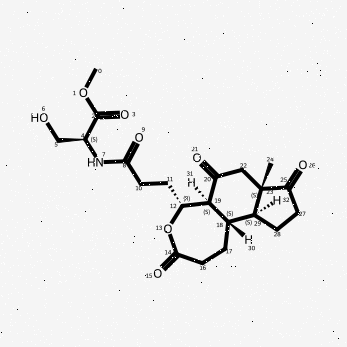 COC(=O)[C@H](CO)NC(=O)CC[C@H]1OC(=O)CC[C@@H]2[C@@H]1C(=O)C[C@]1(C)C(=O)CC[C@@H]21